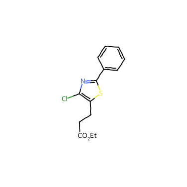 CCOC(=O)CCc1sc(-c2ccccc2)nc1Cl